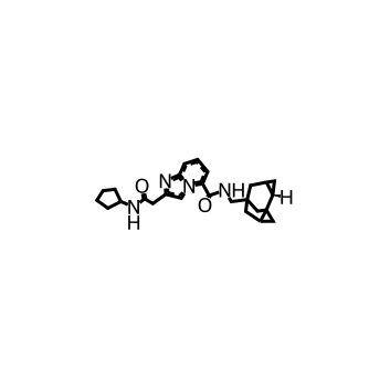 O=C(Cc1cn2c(C(=O)NCC34CC5C[C@@H]5C5(CC5C3)C4)cccc2n1)NC1CCCC1